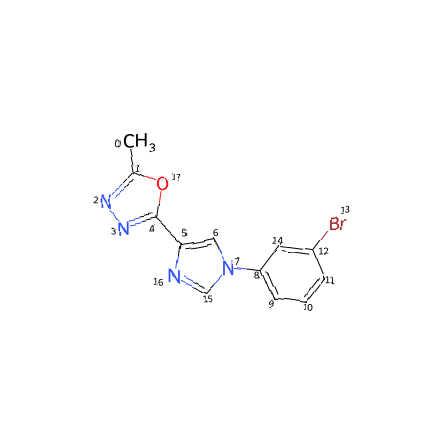 Cc1nnc(-c2cn(-c3cccc(Br)c3)cn2)o1